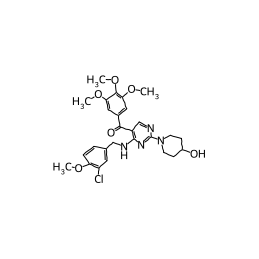 COc1ccc(CNc2nc(N3CCC(O)CC3)ncc2C(=O)c2cc(OC)c(OC)c(OC)c2)cc1Cl